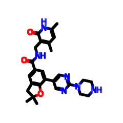 Cc1cc(C)c(CNC(=O)c2cc3c(c(-c4cnc(N5CCNCC5)nc4)c2)OC(C)(C)C3)c(=O)[nH]1